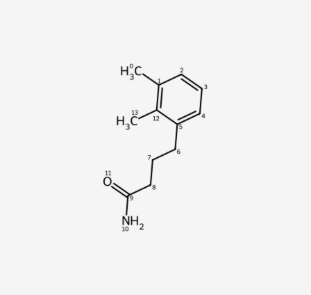 Cc1cccc(CCCC(N)=O)c1C